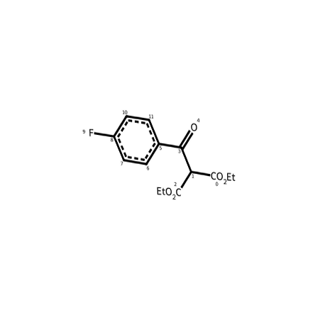 CCOC(=O)C(C(=O)OCC)C(=O)c1ccc(F)cc1